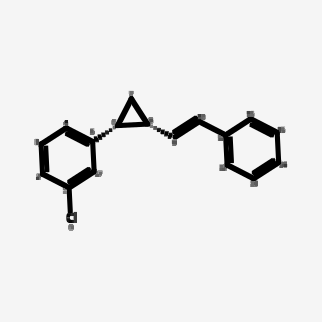 Clc1cccc([C@@H]2C[C@@H]2/C=C/c2ccccc2)c1